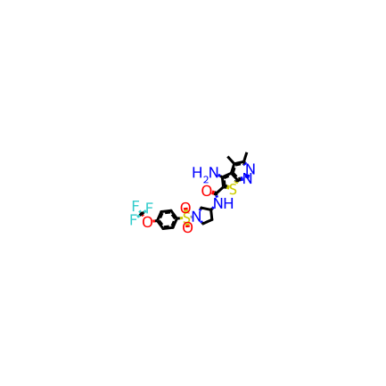 Cc1nnc2sc(C(=O)NC3CCN(S(=O)(=O)c4ccc(OC(F)(F)F)cc4)C3)c(N)c2c1C